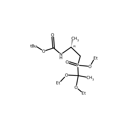 CCOC(C)(OCC)P(=O)(C[C@@H](C)NC(=O)OC(C)(C)C)OCC